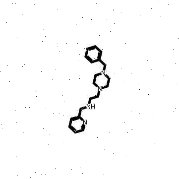 c1ccc(CN2CCN(CCNCc3ccccn3)CC2)cc1